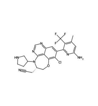 Cc1cc(N)nc(-c2cc3ncnc4c3c(c2Cl)OC[C@H](CC#N)N4C2CCNC2)c1C(F)(F)F